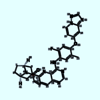 C=CC(=O)N1[C@@H]2CC[C@H]1CC(c1ccc3ncnc(Nc4cc(C)c(Oc5ccn6ncnc6c5)cc4F)c3n1)C2